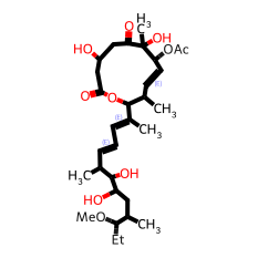 CCC(OC)C(C)CC(O)C(O)C(C)/C=C/C=C(\C)C1OC(=O)CC(O)CC(=O)C(C)(O)C(OC(C)=O)/C=C/C1C